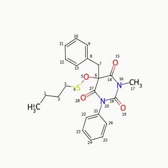 CCCCSOC1(Cc2ccccc2)C(=O)N(C)C(=O)N(c2ccccc2)C1=O